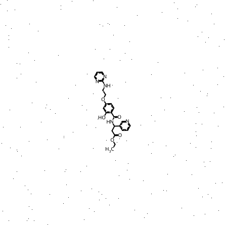 CCOC(=O)CC(NC(=O)c1ccc(OCCNc2ncccn2)cc1O)c1cccnc1